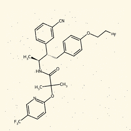 C[C@H](NC(=O)C(C)(C)Oc1ccc(C(F)(F)F)cn1)[C@@H](Cc1ccc(OCC[18F])cc1)c1cccc(C#N)c1